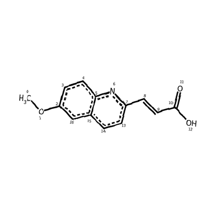 COc1ccc2nc(C=CC(=O)O)ccc2c1